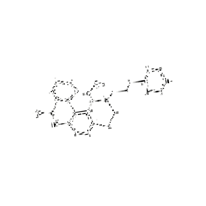 COc1ccccc1-c1c(O)ccc2c1C(OC)N(CCCc1ccncc1)CC2